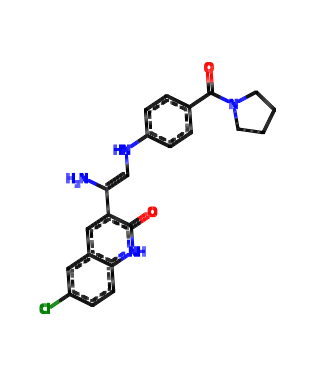 N/C(=C\Nc1ccc(C(=O)N2CCCC2)cc1)c1cc2cc(Cl)ccc2[nH]c1=O